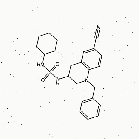 N#Cc1ccc2c(c1)CC(NS(=O)(=O)NC1CCCCC1)CN2Cc1ccccc1